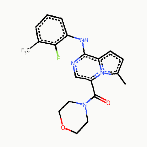 Cc1ccc2c(Nc3cccc(C(F)(F)F)c3F)ncc(C(=O)N3CCOCC3)n12